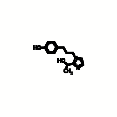 CC(O)c1nccn1CCCc1ccc(O)cc1